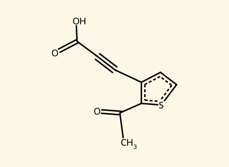 CC(=O)c1sccc1C#CC(=O)O